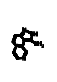 Nc1[nH]nc2ccc3ccncc3c12